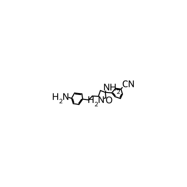 N#Cc1cccc(C(N)(CCCCc2ccc(N)cc2)C(N)=O)c1